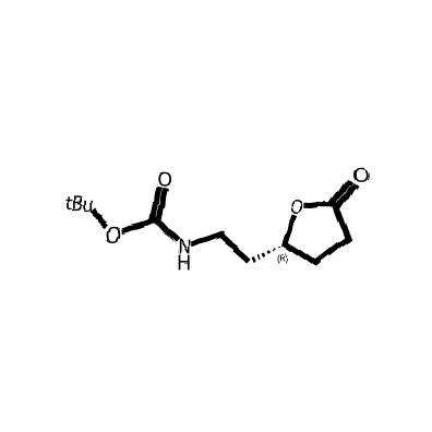 CC(C)(C)OC(=O)NCC[C@H]1CCC(=O)O1